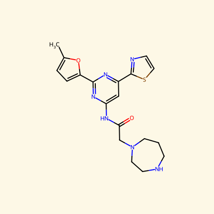 Cc1ccc(-c2nc(NC(=O)CN3CCCNCC3)cc(-c3nccs3)n2)o1